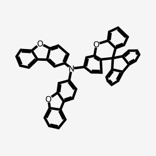 c1ccc2c(c1)Oc1cc(N(c3ccc4c(c3)oc3ccccc34)c3ccc4oc5ccccc5c4c3)ccc1C21c2ccccc2-c2ccccc21